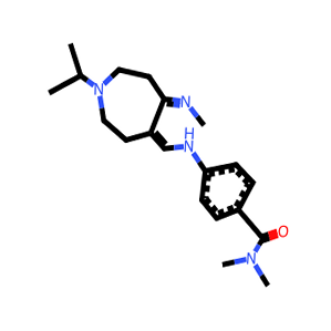 C/N=C1/CCN(C(C)C)CC/C1=C/Nc1ccc(C(=O)N(C)C)cc1